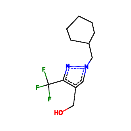 OCc1cn(CC2CCCCC2)nc1C(F)(F)F